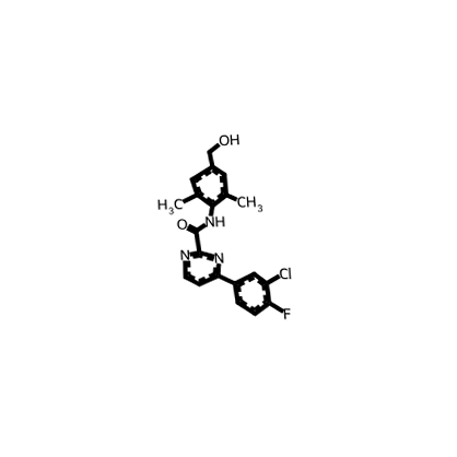 Cc1cc(CO)cc(C)c1NC(=O)c1nccc(-c2ccc(F)c(Cl)c2)n1